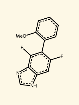 COc1ccccc1-c1c(F)cc2[nH]cnc2c1F